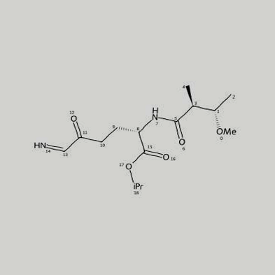 CO[C@@H](C)[C@H](C)C(=O)N[C@@H](CCC(=O)C=N)C(=O)OC(C)C